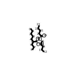 CCCCCC(CCC)C(=O)O.CCCCCOC(=O)CCCC